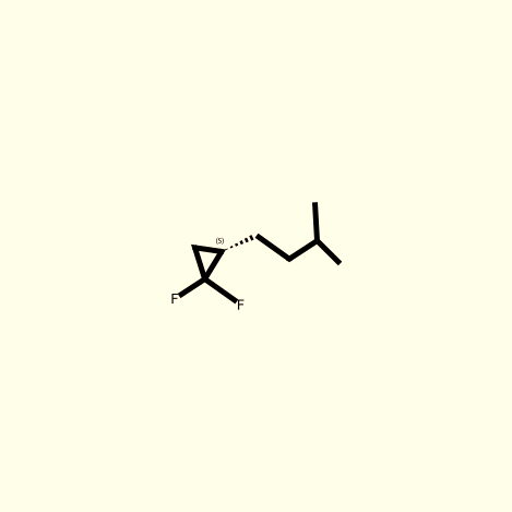 CC(C)CC[C@H]1CC1(F)F